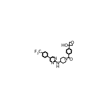 O=C(c1ccc(C2(O)COC2)cc1)N1CCC(Nc2ncc(-c3ccc(C(F)(F)F)cc3)cn2)CC1